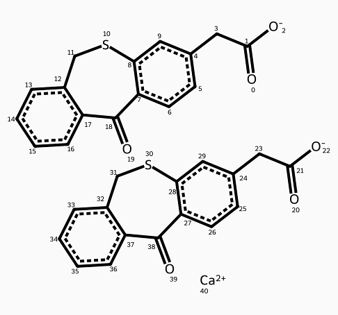 O=C([O-])Cc1ccc2c(c1)SCc1ccccc1C2=O.O=C([O-])Cc1ccc2c(c1)SCc1ccccc1C2=O.[Ca+2]